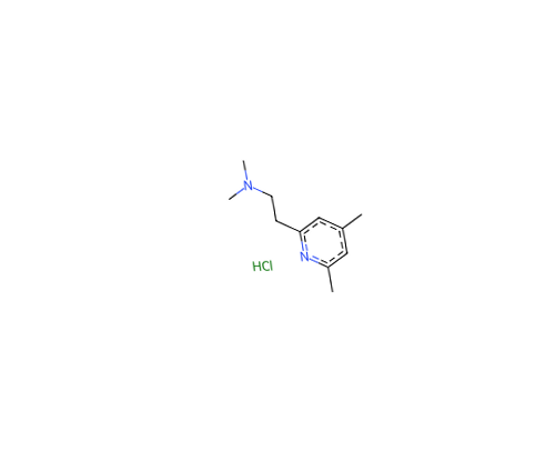 Cc1cc(C)nc(CCN(C)C)c1.Cl